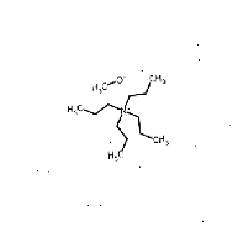 CCC[N+](CCC)(CCC)CCC.C[O-]